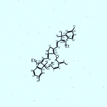 C=[N+](C)/C=C\C(=C/C)COC1=C(/C=C/C2=[N+](CC)c3ccc(C)cc3C2(C)C)CC/C1=C\C=C1\N(CC)c2ccc(C)cc2C1(C)C